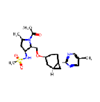 COC(=O)N1[C@H](C)C[C@H](NS(C)(=O)=O)[C@@H]1CO[C@H]1CC[C@@]2(c3ncc(C)cn3)C[C@H]2C1